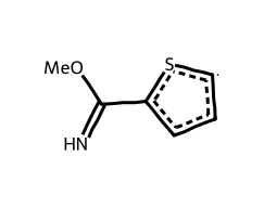 COC(=N)c1cc[c]s1